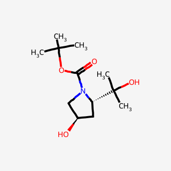 CC(C)(C)OC(=O)N1C[C@H](O)C[C@H]1C(C)(C)O